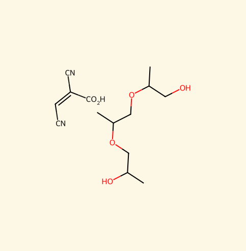 CC(O)COC(C)COC(C)CO.N#CC=C(C#N)C(=O)O